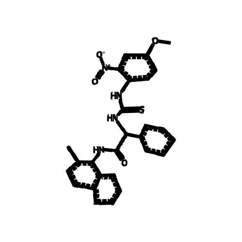 COc1ccc(NC(=S)NC(C(=O)Nc2c(C)ccc3ccccc23)c2ccccc2)c([N+](=O)[O-])c1